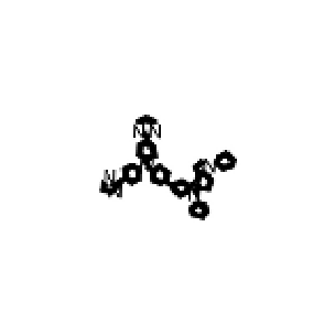 c1ccc(-n2ccc3c4c5cc(-c6ccc(N(c7ccc(-c8ncccn8)cc7)c7ccc(-c8ncccn8)cc7)cc6)ccc5n(-c5ccccc5)c4ccc32)cc1